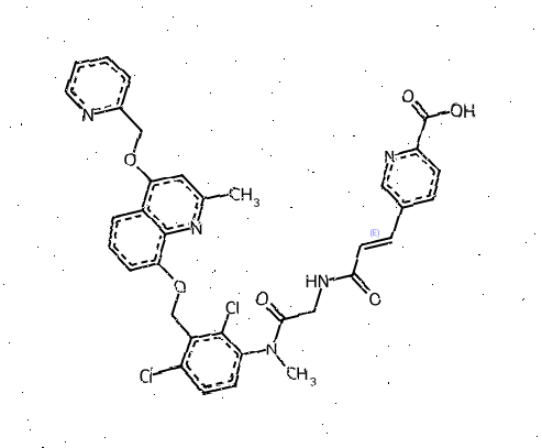 Cc1cc(OCc2ccccn2)c2cccc(OCc3c(Cl)ccc(N(C)C(=O)CNC(=O)/C=C/c4ccc(C(=O)O)nc4)c3Cl)c2n1